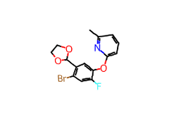 Cc1cccc(Oc2cc(C3OCCO3)c(Br)cc2F)n1